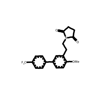 COc1ccc(-c2ccc(C(F)(F)F)cc2)cc1CCN1C(=O)CCC1=O